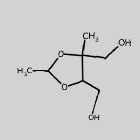 CC1OC(CO)C(C)(CO)O1